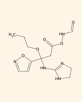 CCCOC(CC(=O)ONC=O)(NC1=NCCN1)c1ccno1